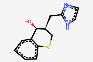 O[C@@H]1c2ccccc2SC[C@@H]1Cc1ncc[nH]1